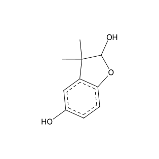 CC1(C)c2cc(O)ccc2OC1O